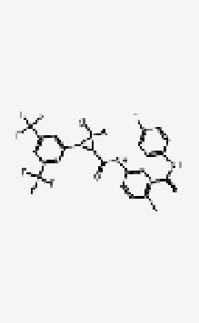 C=C(Nc1ccc(F)cc1)c1cc(NC(=O)C2C(c3cc(C(F)(F)F)cc(C(F)(F)F)c3)C2(Cl)Cl)ccc1Cl